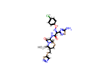 Nc1nc(C(=NOc2ccc(Cl)cc2)C(=O)NC2C(=O)N3C(C(=O)O)=C(CSc4cnns4)CS[C@@H]23)ns1